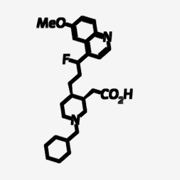 COc1ccc2nccc(C(F)CC[C@@H]3CCN(CC4CCCCC4)C[C@@H]3CC(=O)O)c2c1